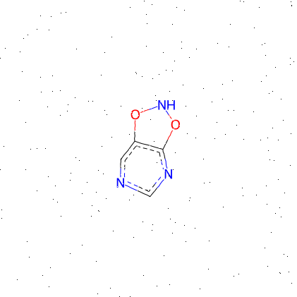 c1ncc2c(n1)ONO2